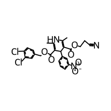 CC1=C(C(=O)OCCC#N)C(c2cccc([N+](=O)[O-])c2)C(C(=O)OCc2ccc(Cl)c(Cl)c2)=C(C)N1